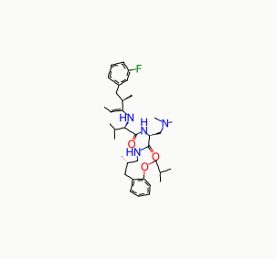 C/C=C(/N[C@@H](C(=O)N[C@@H](CN(C)C)C(=O)NC[C@@H](C)Cc1ccccc1OCC(C)C)C(C)C)[C@H](C)Cc1cccc(F)c1